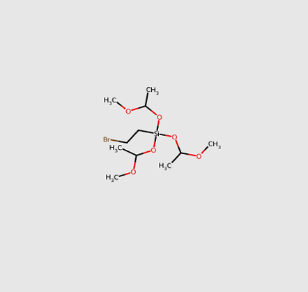 COC(C)O[Si](CCBr)(OC(C)OC)OC(C)OC